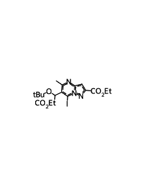 CCOC(=O)c1cc2nc(C)c(C(OC(C)(C)C)C(=O)OCC)c(I)n2n1